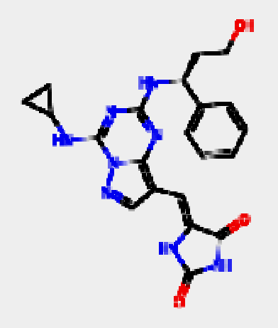 O=C1NC(=O)/C(=C/c2cnn3c(NC4CC4)nc(N[C@@H](CCO)c4ccccc4)nc23)N1